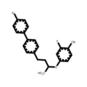 N#Cc1ccc(OC(CCc2ccc(-c3ccc(Cl)cc3)cc2)C(=O)O)cc1F